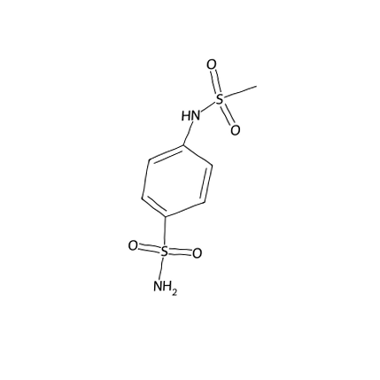 CS(=O)(=O)Nc1ccc(S(N)(=O)=O)cc1